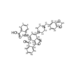 O=C(O)c1ccccc1Nc1cc(N2CCN(Cc3ccc4c(c3)OCO4)CC2)c2noc3c2c1C(=O)c1ccccc1-3